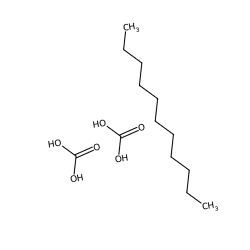 CCCCCCCCCCC.O=C(O)O.O=C(O)O